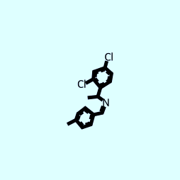 Cc1ccc(/C=N\C(C)c2ccc(Cl)cc2Cl)cc1